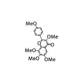 COc1ccc(-c2oc3c(OC)c(OC)c(OC)cc3c(=O)c2OC)cc1